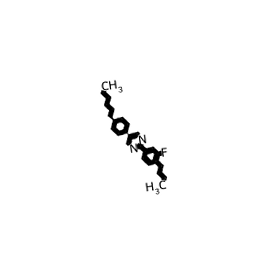 CCCCCC[C@H]1CC[C@H](c2cnc(-c3ccc(CCCC)c(F)c3)nc2)CC1